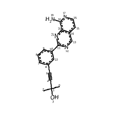 CC(C)(O)C#Cc1cccc(-c2ncc3ccnc(N)c3n2)c1